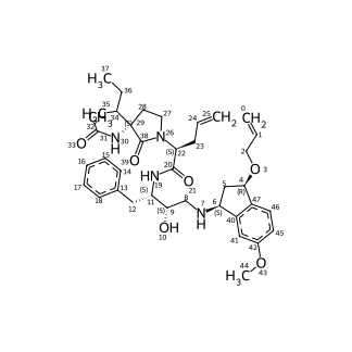 C=CCO[C@@H]1C[C@H](NC[C@H](O)[C@H](Cc2ccccc2)NC(=O)[C@H](CC=C)N2CC[C@](NC(C)=O)(C(C)CC)C2=O)c2cc(OC)ccc21